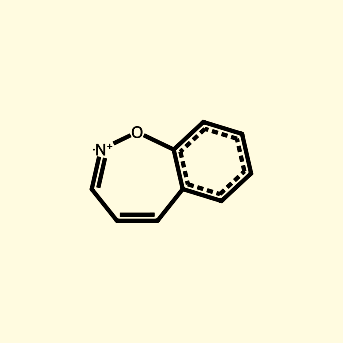 C1=Cc2ccccc2O[N+]=C1